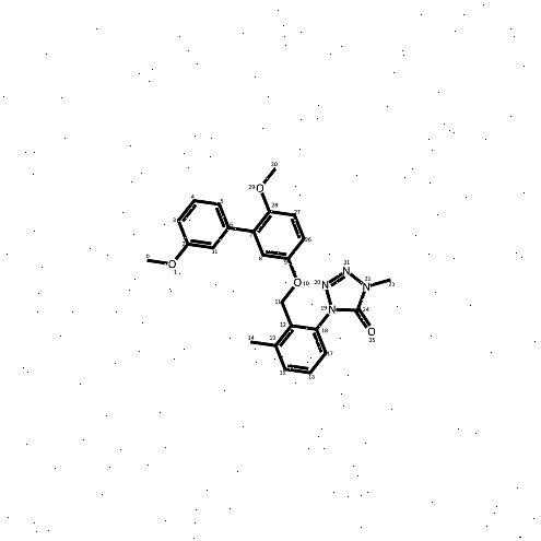 COc1cccc(-c2cc(OCc3c(C)cccc3-n3nnn(C)c3=O)ccc2OC)c1